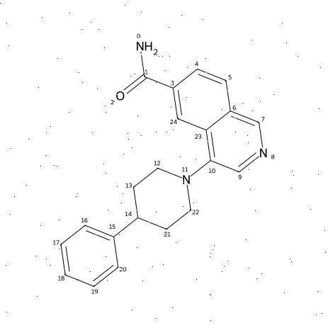 NC(=O)c1ccc2cncc(N3CCC(c4ccccc4)CC3)c2c1